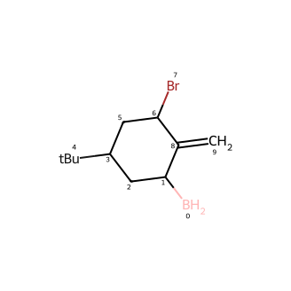 BC1CC(C(C)(C)C)CC(Br)C1=C